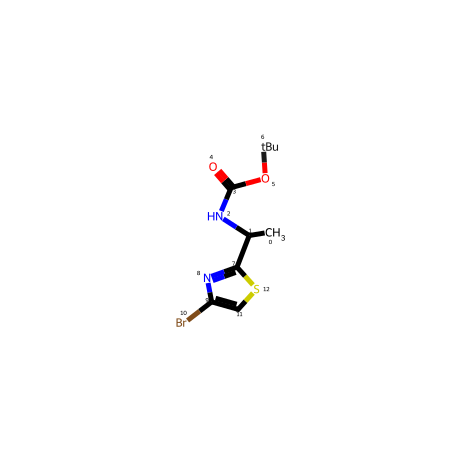 CC(NC(=O)OC(C)(C)C)c1nc(Br)cs1